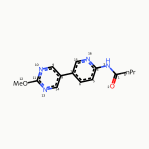 CCCC(=O)Nc1ccc(-c2cnc(OC)nc2)cn1